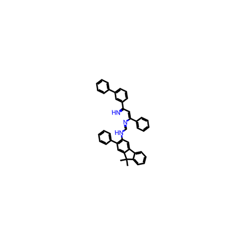 CC1(C)c2ccccc2-c2cc(N/C=N/C(=C\C(=N)c3cccc(-c4ccccc4)c3)c3ccccc3)c(-c3ccccc3)cc21